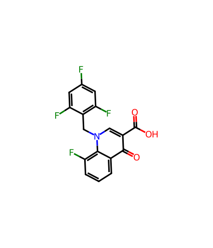 O=C(O)c1cn(Cc2c(F)cc(F)cc2F)c2c(F)cccc2c1=O